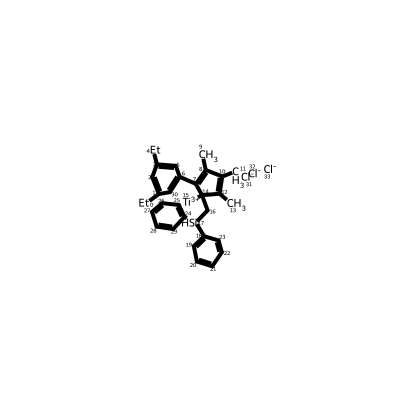 CCc1cc(CC)cc(C2=C(C)C(C)=C(C)[C]2([Ti+3])C[SiH](c2ccccc2)c2ccccc2)c1.[Cl-].[Cl-].[Cl-]